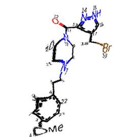 COc1ccc(CCN2CCN(C(=O)c3n[nH]cc3CBr)CC2)cc1